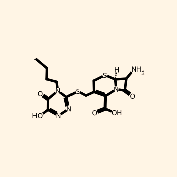 CCCCn1c(SCC2=C(C(=O)O)N3C(=O)C(N)[C@@H]3SC2)nnc(O)c1=O